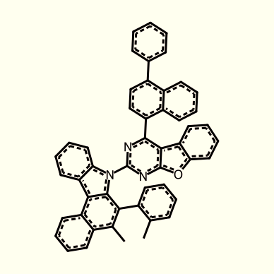 Cc1ccccc1-c1c(C)c2ccccc2c2c3ccccc3n(-c3nc(-c4ccc(-c5ccccc5)c5ccccc45)c4c(n3)oc3ccccc34)c12